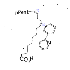 CCCCC/C=C\C/C=C\CCCCCCCC(=O)O.c1ccc(-c2ccccn2)cc1